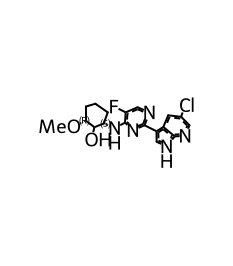 CO[C@@H]1CCC[C@H](Nc2nc(-c3c[nH]c4ncc(Cl)cc34)ncc2F)C1O